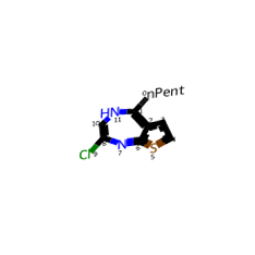 CCCCCC1=c2ccsc2=NC(Cl)=CN1